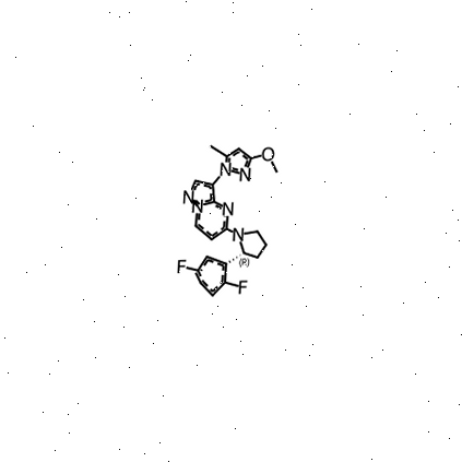 COc1cc(C)n(-c2cnn3ccc(N4CCC[C@@H]4c4cc(F)ccc4F)nc23)n1